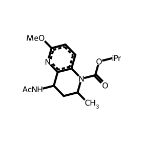 COc1ccc2c(n1)C(NC(C)=O)CC(C)N2C(=O)OC(C)C